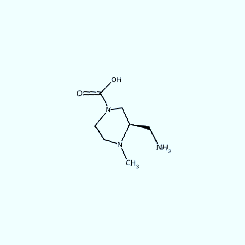 CN1CCN(C(=O)O)C[C@H]1CN